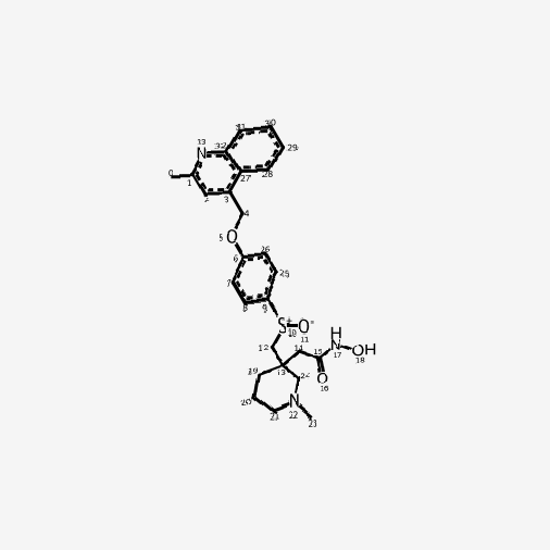 Cc1cc(COc2ccc([S+]([O-])CC3(CC(=O)NO)CCCN(C)C3)cc2)c2ccccc2n1